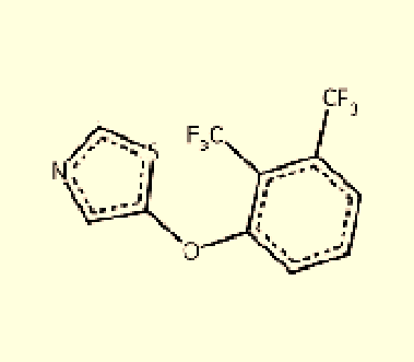 FC(F)(F)c1cccc(Oc2cn[c]s2)c1C(F)(F)F